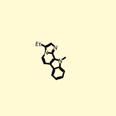 CCc1cnc2c3c(ccn12)c1ccccc1n3C